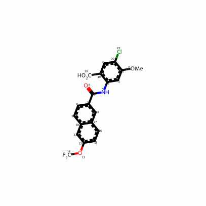 COc1cc(NC(=O)c2ccc3cc(OC(F)(F)F)ccc3c2)c(C(=O)O)cc1Cl